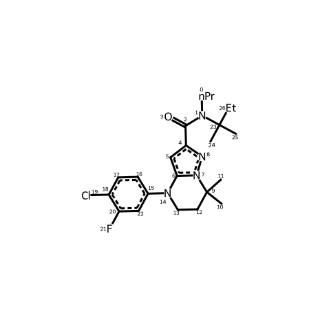 CCCN(C(=O)c1cc2n(n1)C(C)(C)CCN2c1ccc(Cl)c(F)c1)C(C)(C)CC